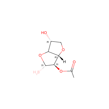 B[C@@H]1OC2[C@H](O)CO[C@@H]2[C@H]1OC(C)=O